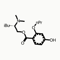 CCCOc1cc(O)ccc1C(=O)OC[C@H](C(C)CC)N(C)C